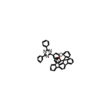 c1ccc(-c2nc(-c3ccccc3)nc(-c3cccc(-n4c5ccccc5c5ccc6c(c54)C4(c5ccccc5Oc5ccccc54)c4ccccc4-6)c3)n2)cc1